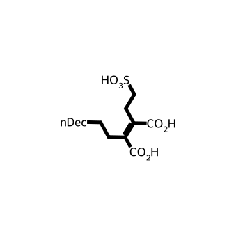 CCCCCCCCCCCCC(C(=O)O)=C(CCS(=O)(=O)O)C(=O)O